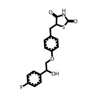 O=C1NC(=O)C(Cc2ccc(OCC(O)c3ccc(F)cc3)cc2)S1